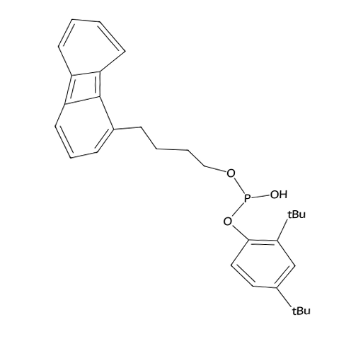 CC(C)(C)c1ccc(OP(O)OCCCCc2cccc3c2=c2ccccc2=3)c(C(C)(C)C)c1